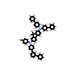 Cc1ccc(N(c2ccc(-c3cccc(-c4ccccc4)c3)cc2)c2ccc3c(c2)C(C)(C)c2cc(N(c4ccc(-c5ccccc5)cc4)c4ccc(-c5ccccc5)cc4)ccc2-3)cc1